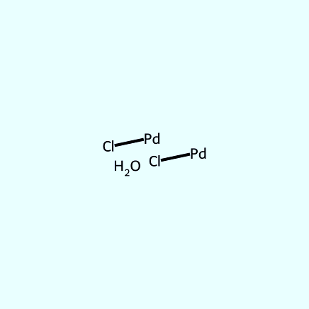 O.[Cl][Pd].[Cl][Pd]